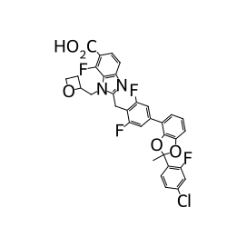 CC1(c2ccc(Cl)cc2F)Oc2cccc(-c3cc(F)c(Cc4nc5ccc(C(=O)O)c(F)c5n4CC4CCO4)c(F)c3)c2O1